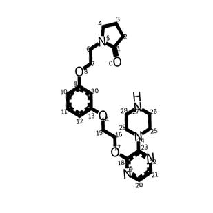 O=C1CCCN1CCOc1cccc(OCCOc2nccnc2N2CCNCC2)c1